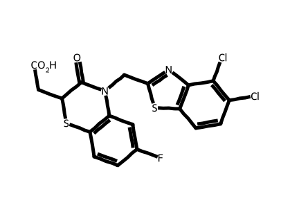 O=C(O)CC1Sc2ccc(F)cc2N(Cc2nc3c(Cl)c(Cl)ccc3s2)C1=O